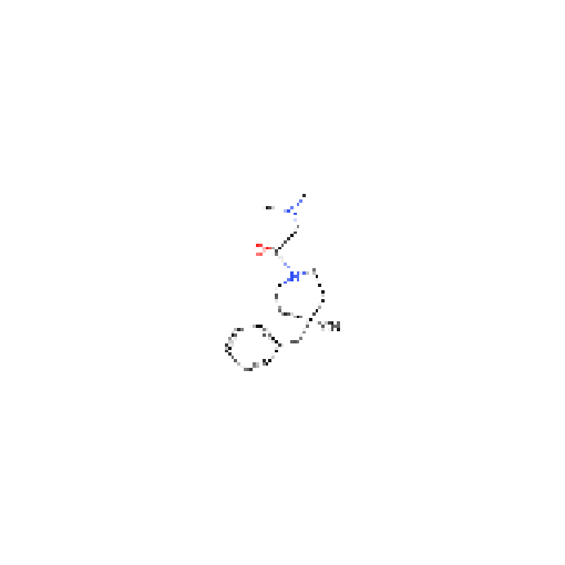 CN(C)CC(=O)N1CCC(C#N)(Cc2ccccc2)CC1